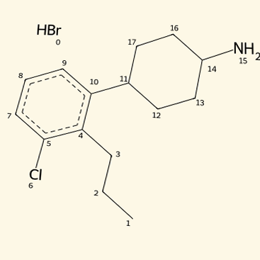 Br.CCCc1c(Cl)cccc1C1CCC(N)CC1